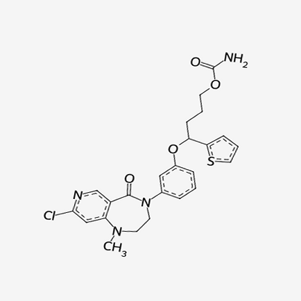 CN1CCN(c2cccc(OC(CCCOC(N)=O)c3cccs3)c2)C(=O)c2cnc(Cl)cc21